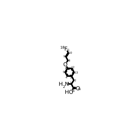 NC(Cc1ccc(OC/C=C/[18F])cc1)C(=O)O